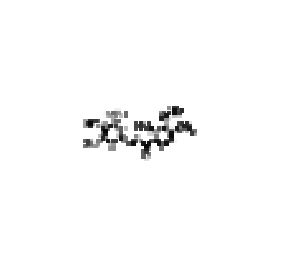 CC(C)Oc1c(C(=O)O)ccc(C(=O)/C=C/c2cc(C(C)(C)C)c(O)c(C(C)(C)C)c2)c1O